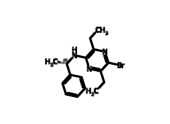 CCc1nc(N[C@@H](C)c2ccccc2)c(CC)nc1Br